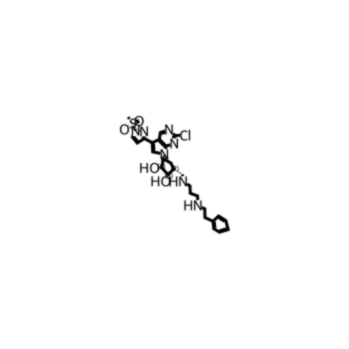 CS(=O)(=O)n1ccc(-c2cn([C@@H]3C[C@H](CNCCCNCCc4ccccc4)[C@@H](O)[C@H]3O)c3nc(Cl)ncc23)n1